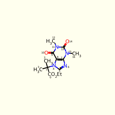 CCOC(=O)C(C)(C)n1cnc2c1c(=O)n(C)c(=O)n2C